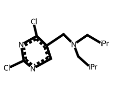 CC(C)CN(Cc1cnc(Cl)nc1Cl)CC(C)C